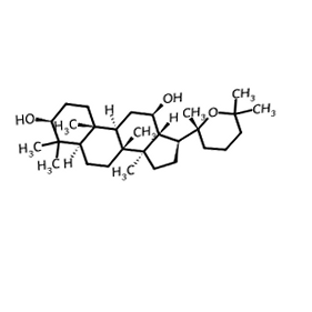 CC1(C)CCC[C@](C)([C@H]2CC[C@]3(C)[C@@H]2[C@H](O)C[C@@H]2[C@@]4(C)CC[C@H](O)C(C)(C)[C@@H]4CC[C@]23C)O1